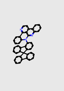 c1ccc2c(c1)-c1nccc3c1c(nc1ccccc13)N2c1cccc2c1-c1ccccc1C21c2ccccc2-c2ccccc21